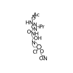 CC(=O)N1CC(Nc2cc(C(=O)NCC(O)CN3CCc4c(ccc(OCc5cnco5)c4Cl)C3)nc(C(C)C)n2)C1